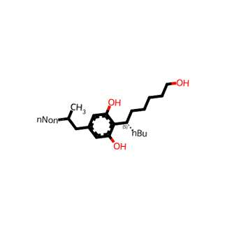 CCCCCCCCCC(C)Cc1cc(O)c([C@@H](CCCC)CCCCCO)c(O)c1